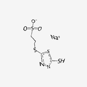 O=S(=O)([O-])CCSc1nnc(S)s1.[Na+]